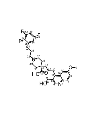 COc1ccc2ncc(CO)c(CCCC3(C(=O)O)CCN(CCSc4cc(F)cc(F)c4F)CC3)c2c1